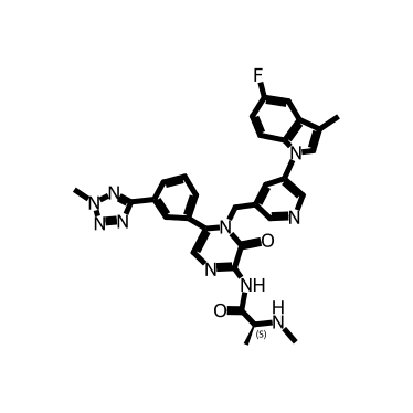 CN[C@@H](C)C(=O)Nc1ncc(-c2cccc(-c3nnn(C)n3)c2)n(Cc2cncc(-n3cc(C)c4cc(F)ccc43)c2)c1=O